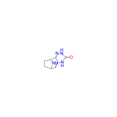 O=C1NN=C2C(=CC3CCC2N3)N1